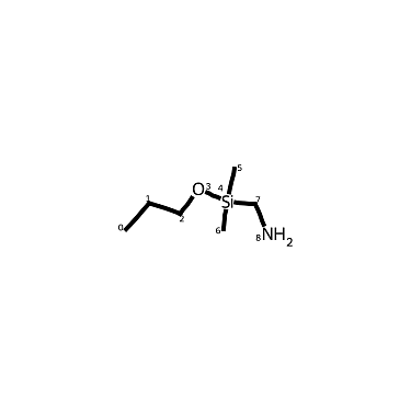 CCCO[Si](C)(C)CN